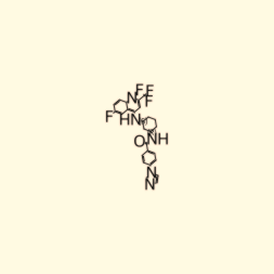 O=C(N[C@@H]1CCC[C@H](Nc2cc(C(F)(F)F)nc3ccc(F)cc23)C1)c1ccc(-n2ccnc2)cc1